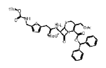 CO[C@@]1(NC(=O)Cc2ccc(CNC(=O)OC(C)(C)C)s2)C(=O)N2C(C(=O)OC(c3ccccc3)c3ccccc3)=C(COC(C)=O)CS[C@@H]21